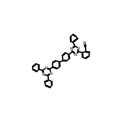 N#Cc1ccccc1-c1nc(-c2ccccc2)nc(-c2ccc(-c3ccc(-c4nc(-c5ccccc5)nc(-c5ccccc5)n4)cc3)cc2)n1